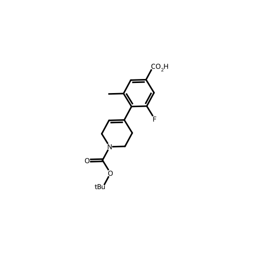 Cc1cc(C(=O)O)cc(F)c1C1=CCN(C(=O)OC(C)(C)C)CC1